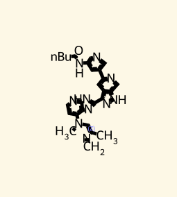 C=N/C(C)=C\N(C)c1ccnc2[nH]c(-c3n[nH]c4cnc(-c5cncc(NC(=O)CCCC)c5)cc34)nc12